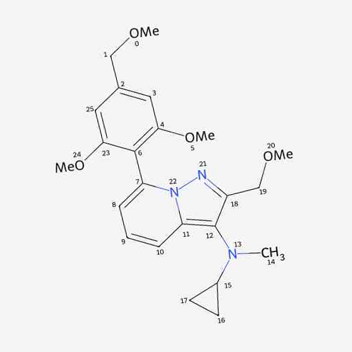 COCc1cc(OC)c(-c2cccc3c(N(C)C4CC4)c(COC)nn23)c(OC)c1